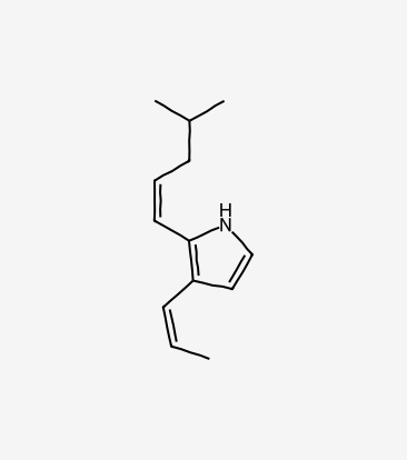 C/C=C\c1cc[nH]c1/C=C\CC(C)C